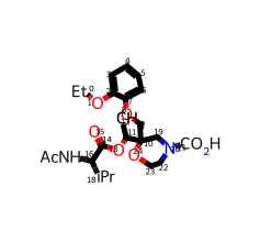 CCOc1ccccc1OCC1(C(C)OC(=O)C(NC(C)=O)C(C)C)CN(C(=O)O)CCO1